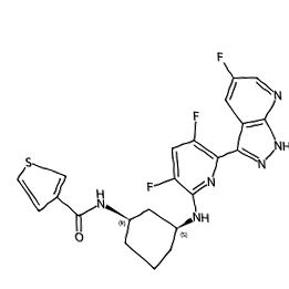 O=C(N[C@@H]1CCC[C@H](Nc2nc(-c3n[nH]c4ncc(F)cc34)c(F)cc2F)C1)c1ccsc1